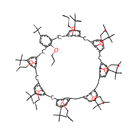 CCCOc1c2cc(C(C)(C)C)cc1Cc1cc(C(C)(C)C)cc(c1OCCC)Cc1cc(C(C)(C)C)cc(c1OCCC)Cc1cc(C(C)(C)C)cc(c1OCCC)Cc1cc(C(C)(C)C)cc(c1OCCC)Cc1cc(C(C)(C)C)cc(c1OCCC)Cc1cc(C(C)(C)C)cc(c1OCCC)Cc1cc(C(C)(C)C)cc(c1OCCC)C2